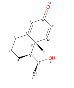 CC[C@H](O)[C@H]1CCCC2=CC(=O)C=C[C@@]21C